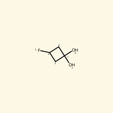 OC1(O)CC(F)C1